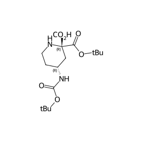 CC(C)(C)OC(=O)N[C@@H]1CCN[C@](C(=O)O)(C(=O)OC(C)(C)C)C1